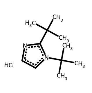 CC(C)(C)c1nccn1C(C)(C)C.Cl